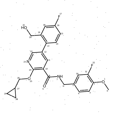 COc1ccc(CNC(=O)c2cc(-c3ccc(F)cc3CO)cnc2OCC2CC2)cc1F